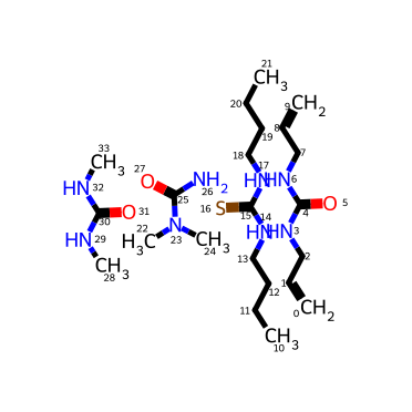 C=CCNC(=O)NCC=C.CCCCNC(=S)NCCCC.CN(C)C(N)=O.CNC(=O)NC